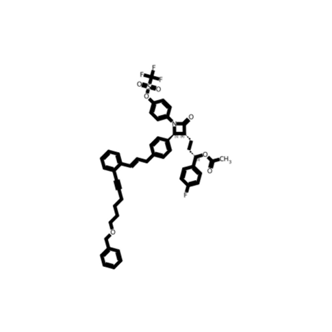 CC(=O)O[C@@H](CC[C@H]1C(=O)N(c2ccc(OS(=O)(=O)C(F)(F)F)cc2)[C@@H]1c1ccc(CC=Cc2ccccc2C#CCCCCOCc2ccccc2)cc1)c1ccc(F)cc1